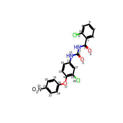 O=C(NC(=O)c1ccccc1Cl)Nc1ccc(Oc2ccc([N+](=O)[O-])cc2)c(Cl)c1